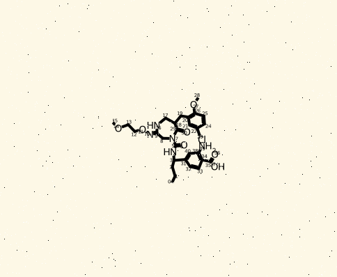 CCCC(NC(=O)N1C/C(=N/OCCOC)NCC(Cc2cc(Cl)ccc2OC)C1=O)c1ccc(C(=O)O)c(N)c1